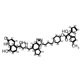 Cc1ccc([C@@](O)(C(=O)OC2CCN(CCCn3nnc4cc(CNC[C@H](O)c5ccc(O)c6[nH]c(=O)ccc56)c5c(c43)CCC5)CC2)c2cccs2)s1